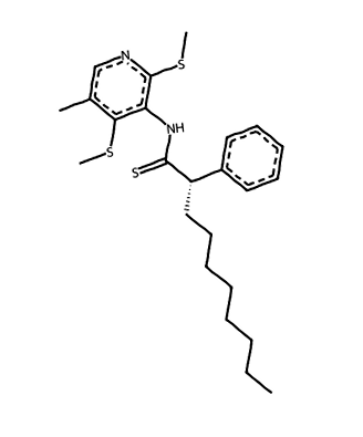 CCCCCCCC[C@H](C(=S)Nc1c(SC)ncc(C)c1SC)c1ccccc1